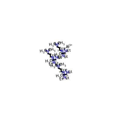 CCN(CC)CC(C)([N-]CCCN(C)C)N(CC)CC.CCN(CC)CC(C)([N-]CCCN(C)C)N(CC)CC.CCN(CC)CC(C)([N-]CCCN(C)C)N(CC)CC.[Al+3]